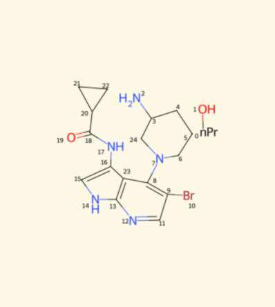 CCCO.NC1CCCN(c2c(Br)cnc3[nH]cc(NC(=O)C4CC4)c23)C1